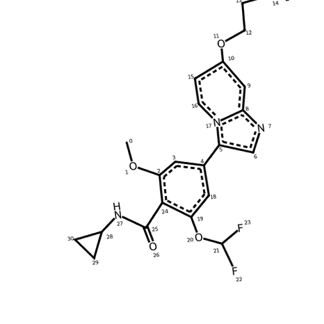 COc1cc(-c2cnc3cc(OCCN)ccn23)cc(OC(F)F)c1C(=O)NC1CC1